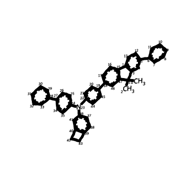 CC1(C)c2cc(-c3ccccc3)ccc2-c2ccc(-c3ccc(N(c4ccc(-c5ccccc5)cc4)c4ccc5c(c4)CC5)cc3)cc21